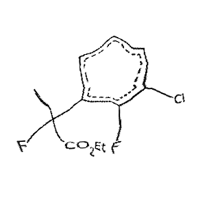 CCOC(=O)C(C)(F)c1cccc(Cl)c1F